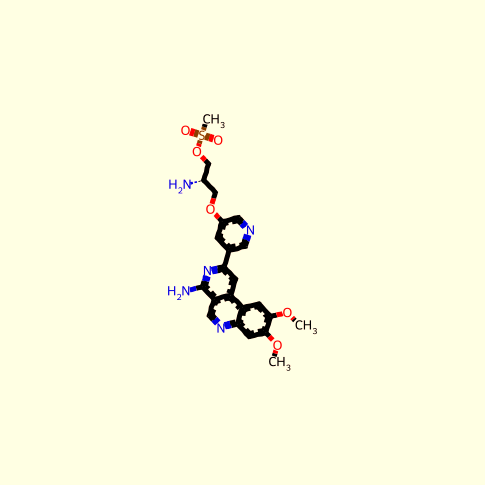 COc1cc2ncc3c(N)nc(-c4cncc(OC[C@H](N)COS(C)(=O)=O)c4)cc3c2cc1OC